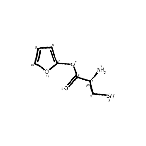 N[C@@H](CS)C(=O)Oc1ccco1